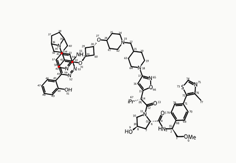 COC[C@@H](NC(=O)[C@@H]1C[C@@H](O)CN1C(=O)[C@@H](c1cc(N2CCC(CN3CCC(O[C@H]4C[C@H](Oc5cc(N6C7CCC6CN(c6cc(-c8ccccc8O)nnc6N)C7)ccn5)C4)CC3)CC2)no1)C(C)C)c1ccc(-c2scnc2C)cc1